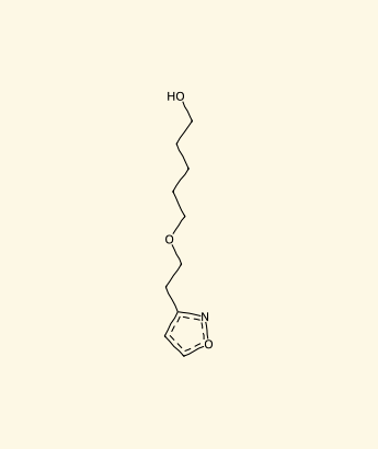 OCCCCCOCCc1ccon1